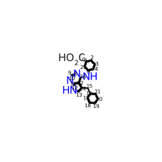 O=C(O)c1cccc(Nc2ncnc3[nH]cc(Cc4ccccc4)c23)c1